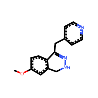 COc1ccc2c(c1)CNN=C2Cc1ccncc1